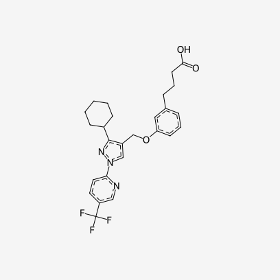 O=C(O)CCCc1cccc(OCc2cn(-c3ccc(C(F)(F)F)cn3)nc2C2CCCCC2)c1